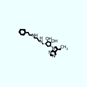 C=Cc1cn([C@@H]2C[C@H](CNCCCNCCc3ccccc3)[C@@H](O)[C@H]2O)c2ncncc12